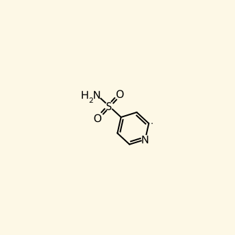 NS(=O)(=O)c1c[c]ncc1